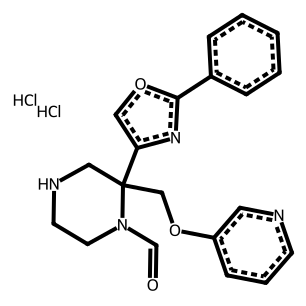 Cl.Cl.O=CN1CCNCC1(COc1cccnc1)c1coc(-c2ccccc2)n1